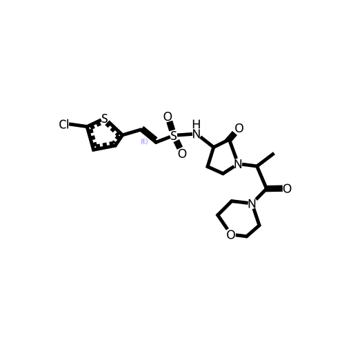 CC(C(=O)N1CCOCC1)N1CCC(NS(=O)(=O)/C=C/c2ccc(Cl)s2)C1=O